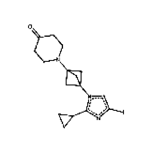 O=C1CCN(C23CC(n4cc(I)nc4C4CC4)(C2)C3)CC1